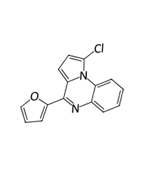 Clc1ccc2c(-c3ccco3)nc3ccccc3n12